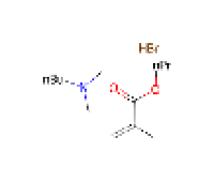 Br.C=C(C)C(=O)OCCC.CCCCN(C)C